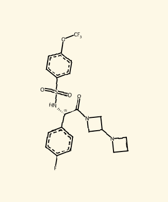 O=C([C@@H](NS(=O)(=O)c1ccc(OC(F)(F)F)cc1)c1ccc(F)cc1)N1CC(N2CCC2)C1